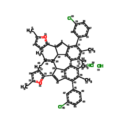 Cc1ccc(C2=Cc3c(cc(C)c(C)c3-c3cccc(Cl)c3)[CH]2[Zr]([CH]2C(c3ccc(C)o3)=Cc3c2cc(C)c(C)c3-c2cccc(Cl)c2)=[Si](C)C)o1.Cl.Cl